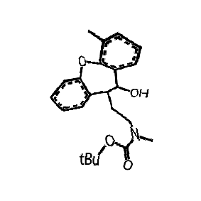 Cc1cccc2c1Oc1ccccc1C(CCN(C)C(=O)OC(C)(C)C)C2O